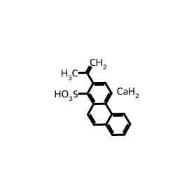 C=C(C)c1ccc2c(ccc3ccccc32)c1S(=O)(=O)O.[CaH2]